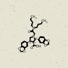 CCCCN(CCCC)C(=O)CN1C[C@H](c2ccc3c(c2)OCO3)[C@H](C(=O)O)[C@H]1c1ccc2c(c1)OCO2